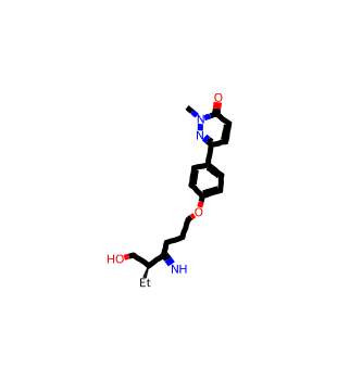 CC[C@@H](CO)C(=N)CCCOc1ccc(-c2ccc(=O)n(C)n2)cc1